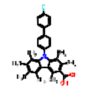 Bc1c(B)c(B)c2c(c1B)c1c(B)c(B(O)O)c(B)c(B)c1n2-c1ccc(-c2ccc(F)cc2)cc1